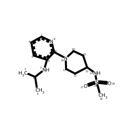 CC(C)Nc1cccnc1N1CCC(NS(C)(=O)=O)CC1